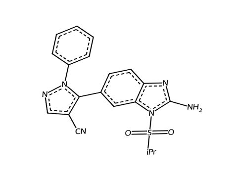 CC(C)S(=O)(=O)n1c(N)nc2ccc(-c3c(C#N)cnn3-c3ccccc3)cc21